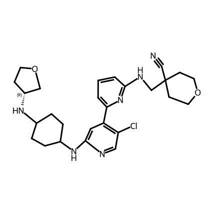 N#CC1(CNc2cccc(-c3cc(NC4CCC(N[C@@H]5CCOC5)CC4)ncc3Cl)n2)CCOCC1